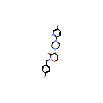 Cc1ccc(CN2OCC[C@H](N3CCN(c4ccc(O)cn4)CC3)C2=O)cc1